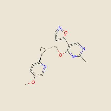 COc1ccc([C@H]2C[C@@H]2COc2nc(C)ncc2-c2ccno2)nc1